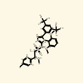 COc1cccc(OC)c1-n1c(NS(=O)(=O)[C@@H](C)[C@H](OC)c2ncc(C)cn2)nnc1-c1cc(C(F)(F)F)cc(C(F)(F)F)c1